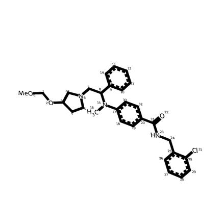 COCOC1CCN(CC(c2ccccc2)N(C)c2ccc(C(=O)NCc3ccccc3Cl)cc2)C1